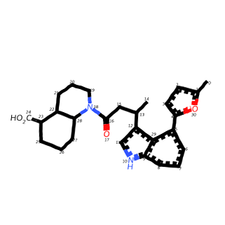 Cc1ccc(-c2cccc3[nH]cc(C(C)CC(=O)N4CCCC5C(C(=O)O)CCCC54)c23)o1